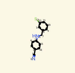 N#Cc1ccc(NCc2cccc(F)c2)cc1